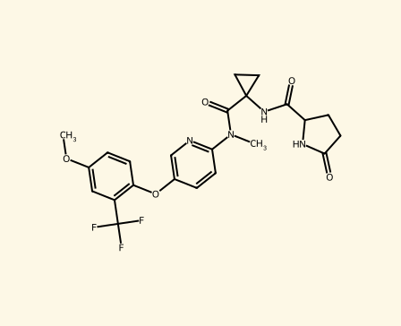 COc1ccc(Oc2ccc(N(C)C(=O)C3(NC(=O)C4CCC(=O)N4)CC3)nc2)c(C(F)(F)F)c1